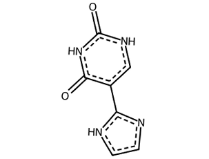 O=c1[nH]cc(-c2ncc[nH]2)c(=O)[nH]1